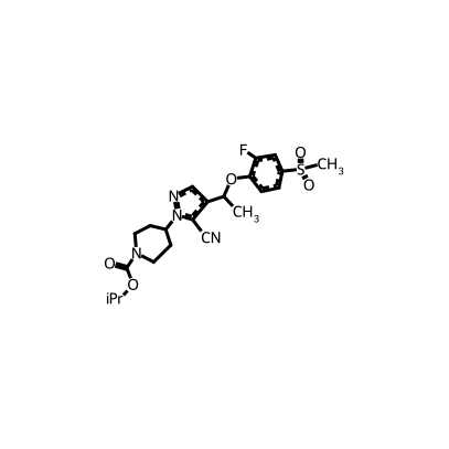 CC(C)OC(=O)N1CCC(n2ncc(C(C)Oc3ccc(S(C)(=O)=O)cc3F)c2C#N)CC1